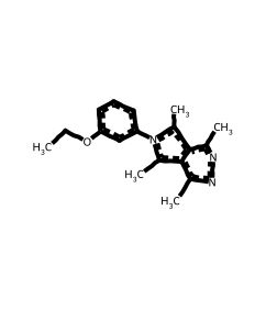 CCOc1cccc(-n2c(C)c3c(C)nnc(C)c3c2C)c1